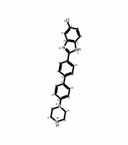 Clc1ccc2[nH]c(-c3ccc(-c4ccc(N5CCNCC5)cc4)cc3)nc2c1